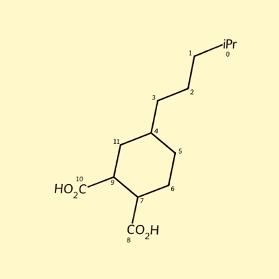 CC(C)CCCC1CCC(C(=O)O)C(C(=O)O)C1